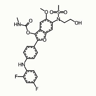 CNC(=O)Oc1c(-c2ccc(Nc3ccc(F)cc3F)cc2)oc2cc(N(CCO)S(C)(=O)=O)c(OC)cc12